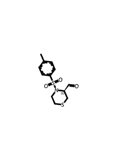 Cc1ccc(S(=O)(=O)N2CCSC[C@@H]2C=O)cc1